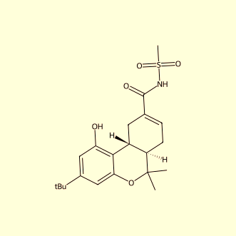 CC(C)(C)c1cc(O)c2c(c1)OC(C)(C)[C@@H]1CC=C(C(=O)NS(C)(=O)=O)C[C@@H]21